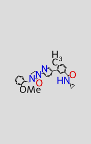 COc1ccccc1CN1CCN(c2ccc(-c3cc(C(=O)NC4CC4)ccc3C)cn2)C1=O